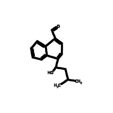 CC(C)CC(O)c1ccc(C=O)c2ccccc12